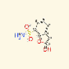 NS(=O)(=O)c1cccc2cc(O)oc12